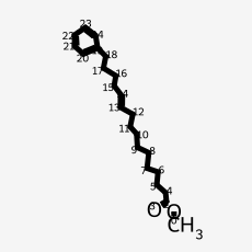 COC(=O)CCCCCCCCC/C=C/CCCCc1ccccc1